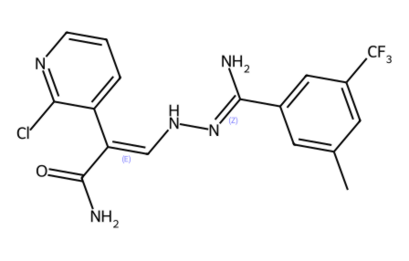 Cc1cc(/C(N)=N/N/C=C(/C(N)=O)c2cccnc2Cl)cc(C(F)(F)F)c1